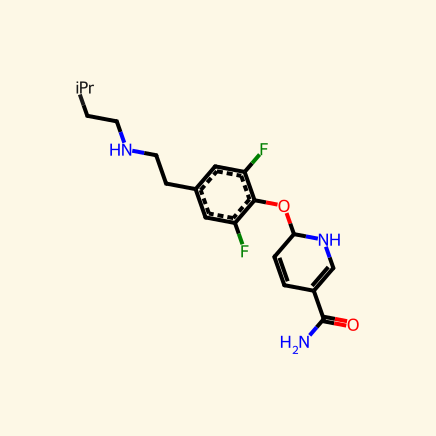 CC(C)CCNCCc1cc(F)c(OC2C=CC(C(N)=O)=CN2)c(F)c1